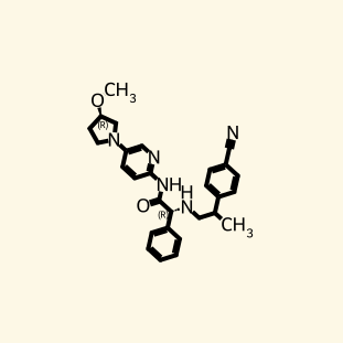 CO[C@@H]1CCN(c2ccc(NC(=O)[C@H](NCC(C)c3ccc(C#N)cc3)c3ccccc3)nc2)C1